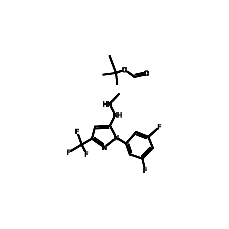 CC(C)(C)OC=O.CNNc1cc(C(F)(F)F)nn1-c1cc(F)cc(F)c1